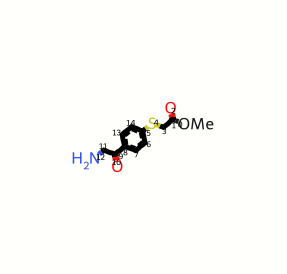 COC(=O)CSc1ccc(C(=O)CN)cc1